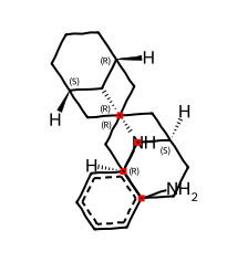 Nc1ccccc1N[C@H]1C[C@H]2CCC[C@@H](C1)C2[C@H]1C[C@@H]2CCC[C@@H](C2)C1